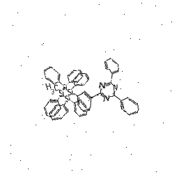 C[Si]1(c2ccccc2)[Si](c2ccccc2)(c2ccccc2)[Si](c2ccccc2)(c2cccc(-c3nc(-c4ccccc4)nc(-c4ccccc4)n3)c2)[Si]1(c1ccccc1)c1ccccc1